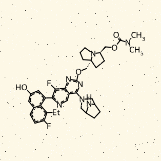 CCc1c(F)ccc2cc(O)cc(-c3ncc4c(N5CC6CCC(C5)N6)nc(OC[C@]56CCCN5[C@@H](COC(=O)N(C)C)CC6)nc4c3F)c12